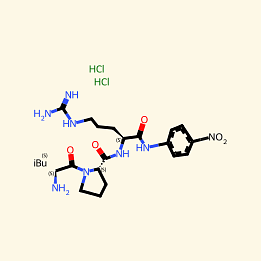 CC[C@H](C)[C@H](N)C(=O)N1CCC[C@H]1C(=O)N[C@@H](CCCNC(=N)N)C(=O)Nc1ccc([N+](=O)[O-])cc1.Cl.Cl